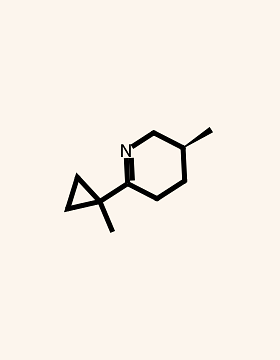 C[C@H]1CCC(C2(C)CC2)=NC1